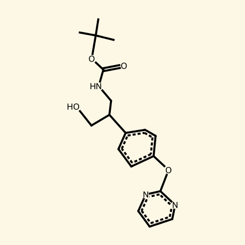 CC(C)(C)OC(=O)NCC(CO)c1ccc(Oc2ncccn2)cc1